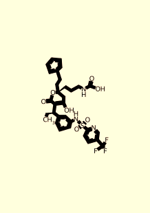 CC[C@@H](C1=C(O)C[C@@](CCCNC(=O)O)(CCc2ccccc2)OC1=O)c1cccc(NS(=O)(=O)c2ccc(C(F)(F)F)cn2)c1